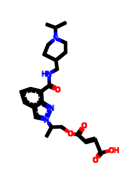 CC(C)N1CCC(CNC(=O)c2cccc3cn(C(C)COC(=O)/C=C/C(=O)O)nc23)CC1